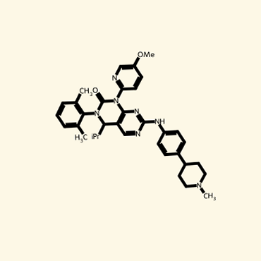 COc1ccc(N2C(=O)N(c3c(C)cccc3C)C(C(C)C)c3cnc(Nc4ccc(C5CCN(C)CC5)cc4)nc32)nc1